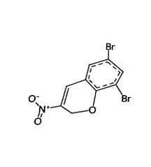 O=[N+]([O-])C1=Cc2cc(Br)cc(Br)c2OC1